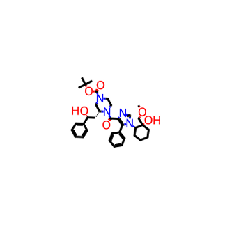 COC[C@]1(O)CCCC[C@H]1n1cnc(C(=O)N2CCN(C(=O)OC(C)(C)C)C[C@H]2C[C@@H](O)c2ccccc2)c1-c1ccccc1